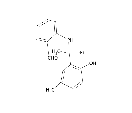 CCC(C)(Pc1ccccc1C=O)c1cc(C)ccc1O